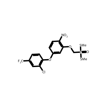 CSP(=O)(COc1cc(Oc2ccc(C(F)(F)F)cc2Cl)ccc1[N+](=O)[O-])SC